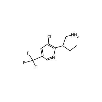 CCC(CN)c1ncc(C(F)(F)F)cc1Cl